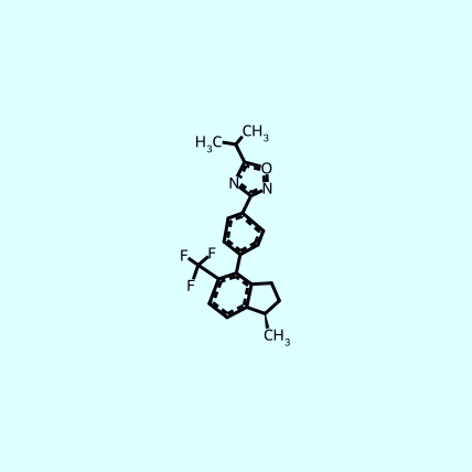 CC(C)c1nc(-c2ccc(-c3c(C(F)(F)F)ccc4c3CC[C@H]4C)cc2)no1